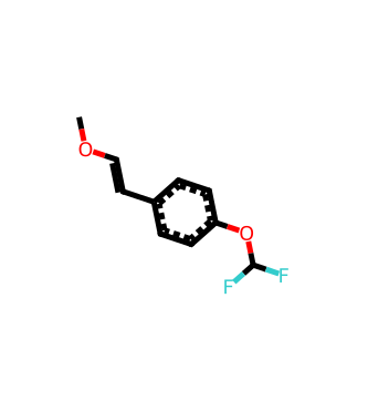 COC=Cc1ccc(OC(F)F)cc1